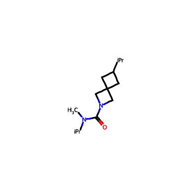 CC(C)C1CC2(C1)CN(C(=O)N(C)C(C)C)C2